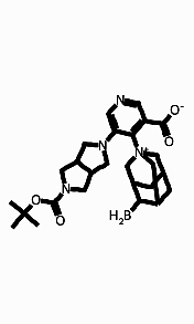 BC1C2CC3CC1C[N+](c1c(C(=O)[O-])cncc1N1CC4CN(C(=O)OC(C)(C)C)CC4C1)(C3)C2